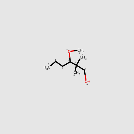 CCCC(OC)C(C)(C)CO